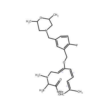 BC(C(=O)NC)N(C)C/C=C(/C=C\C=C(/C)C=O)OCc1cc(CN2CC(C)OC(C)C2)ccc1F